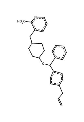 C=CCc1ccc(C(OC2CCN(Cc3cccnc3C(=O)O)CC2)c2ccccc2)cc1